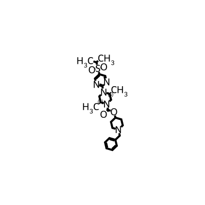 CC(C)S(=O)(=O)c1cnc(N2C[C@@H](C)N(C(=O)OC3CCN(Cc4ccccc4)CC3)C[C@@H]2C)nc1